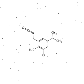 C=C(C)c1cc(C)c(C)c(CN=C=O)c1